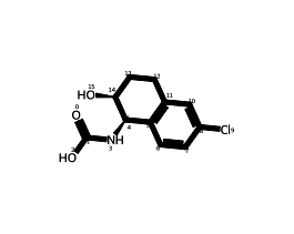 O=C(O)N[C@@H]1c2ccc(Cl)cc2CC[C@@H]1O